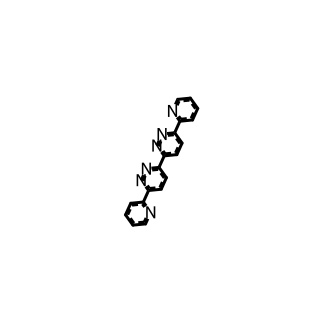 c1ccc(-c2ccc(-c3ccc(-c4ccccn4)nn3)nn2)nc1